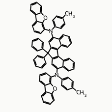 Cc1ccc(N(c2cc3c(c4ccccc24)-c2c(cc(N(c4ccc(C)cc4)c4cccc5c4oc4ccccc45)c4ccccc24)C3(c2ccccc2)c2ccccc2)c2cccc3c2oc2ccccc23)cc1